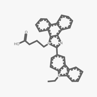 CCn1c2ccccc2c2cc(-c3nc4c5ccccc5c5ccccc5c4n3CCCC(=O)O)ccc21